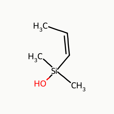 C/C=C\[Si](C)(C)O